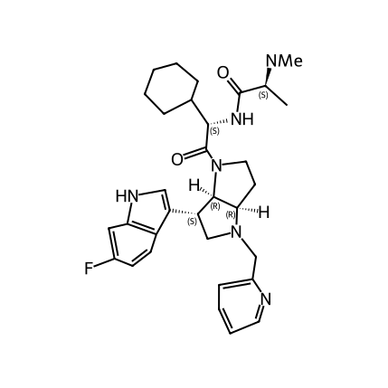 CN[C@@H](C)C(=O)N[C@H](C(=O)N1CC[C@@H]2[C@H]1[C@@H](c1c[nH]c3cc(F)ccc13)CN2Cc1ccccn1)C1CCCCC1